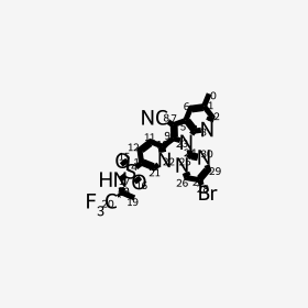 Cc1cnc2c(c1)c(C#N)c(-c1ccc(S(=O)(=O)N[C@@H](C)C(F)(F)F)cn1)n2-c1ncc(Br)cn1